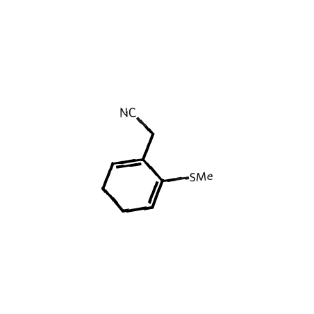 CSC1=CCCC=C1CC#N